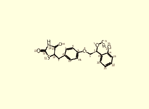 CO[C@H](COc1ccc(CC2SC(=O)NC2=O)cc1)c1ccccc1Cl